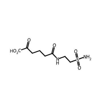 NS(=O)(=O)CCNC(=O)CCCC(=O)C(=O)O